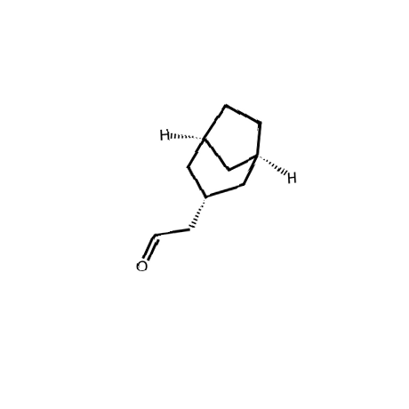 O=CC[C@@H]1C[C@H]2CC[C@@H](C1)C2